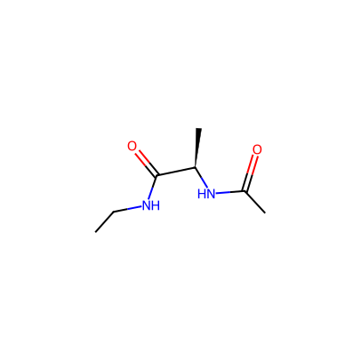 CCNC(=O)[C@@H](C)NC(C)=O